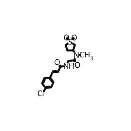 CN(C(=O)CNC(=O)/C=C/c1ccc(Cl)cc1)C1CCS(=O)(=O)C1